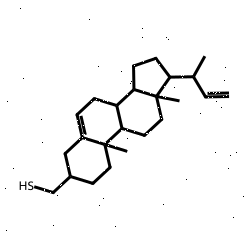 C=CC(C)C1CCC2C3CC=C4CC(CS)CCC4(C)C3CCC12C